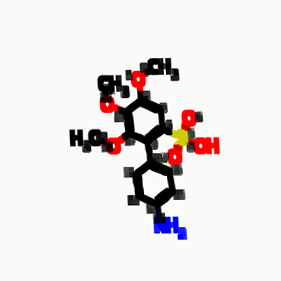 COc1cc(S(=O)(=O)O)c(-c2ccc(N)cc2)c(OC)c1OC